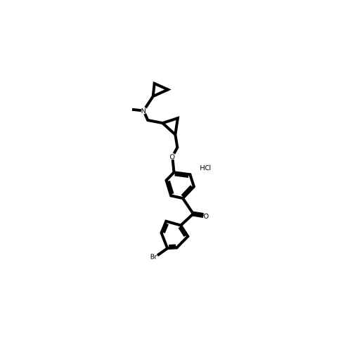 CN(CC1CC1COc1ccc(C(=O)c2ccc(Br)cc2)cc1)C1CC1.Cl